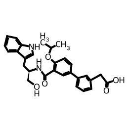 CC(C)Oc1ccc(-c2cccc(CC(=O)O)c2)cc1C(=O)N[C@@H](CO)Cc1c[nH]c2ccccc12